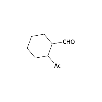 CC(=O)C1CCCCC1C=O